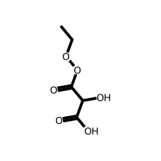 CCOOC(=O)C(O)C(=O)O